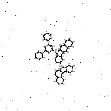 c1ccc(-c2nc(-c3ccccc3)nc(-n3c4ccc(-n5c6ccccc6c6c7ccccc7ccc65)cc4c4cc5ccccc5cc43)n2)cc1